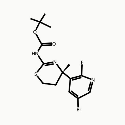 CC(C)(C)OC(=O)NC1=N[C@](C)(c2cc(Br)cnc2F)CCS1